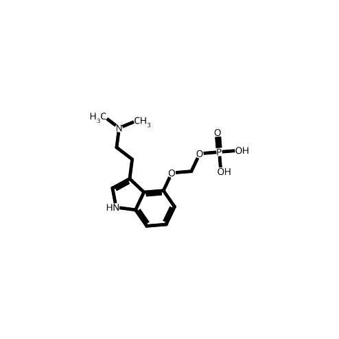 CN(C)CCc1c[nH]c2cccc(OCOP(=O)(O)O)c12